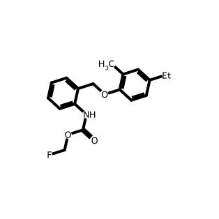 CCc1ccc(OCc2ccccc2NC(=O)OCF)c(C)c1